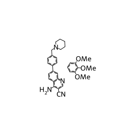 COc1cccc(OC)c1OC.N#Cc1cnc2cc(-c3ccc(CN4CCCCC4)cc3)ccc2c1N